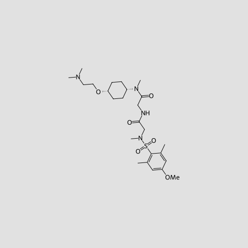 COc1cc(C)c(S(=O)(=O)N(C)CC(=O)NCC(=O)N(C)[C@H]2CC[C@@H](OCCN(C)C)CC2)c(C)c1